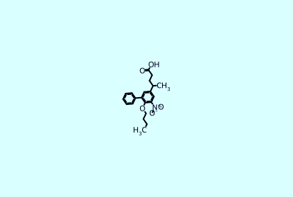 CCCCOc1c(-c2ccccc2)cc(C(C)CCC(=O)O)cc1[N+](=O)[O-]